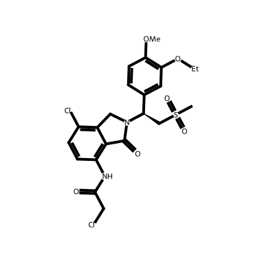 CCOc1cc([C@@H](CS(C)(=O)=O)N2Cc3c(Cl)ccc(NC(=O)CCl)c3C2=O)ccc1OC